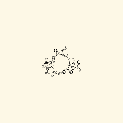 C=C/C1=C/[C@H](C)[C@](C)(OC(C)=O)C(=O)OCC2=CC[N+]3(C)CC[C@@H](OC1=O)C23[O-]